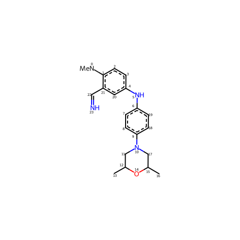 CNc1ccc(Nc2ccc(N3CC(C)OC(C)C3)cc2)cc1C=N